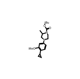 COc1cc(N2CCN(C(=O)OC(C)(C)C)C(C)C2)ccc1C1CC1